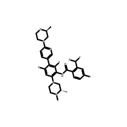 C[C@H]1CN(c2ccc(-c3c(F)cc(N4CCN(C)[C@@H](C)C4)c(NC(=O)c4ccc(F)cc4C(F)F)c3F)cn2)CCO1